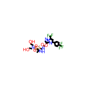 Cc1nc(NC(=O)Oc2cnn3c(C(F)F)cc(-c4ccc(C(F)(F)F)cc4)nc23)sc1S(=O)(=O)N(CCO)CCO